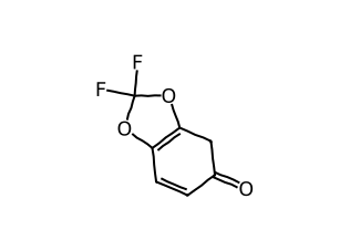 O=C1C=CC2=C(C1)OC(F)(F)O2